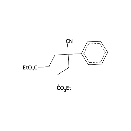 CCOC(=O)CCC(C#N)(CCC(=O)OCC)c1ccccc1